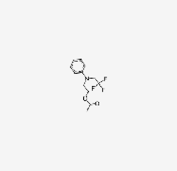 CC(=O)OCCN(CC(F)(F)F)c1ccccc1